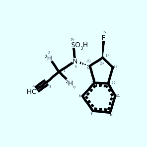 [2H]C([2H])(C#C)N([C@H]1c2ccccc2C[C@@H]1F)S(=O)(=O)O